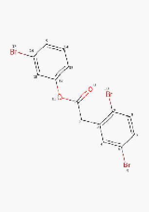 O=C(Cc1cc(Br)ccc1Br)Oc1cccc(Br)c1